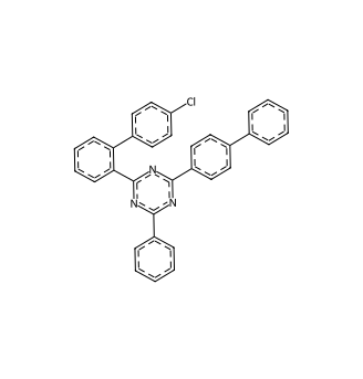 Clc1ccc(-c2ccccc2-c2nc(-c3ccccc3)nc(-c3ccc(-c4ccccc4)cc3)n2)cc1